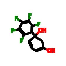 OC1=CC=CC(O)(c2c(F)c(F)c(F)c(F)c2F)C1